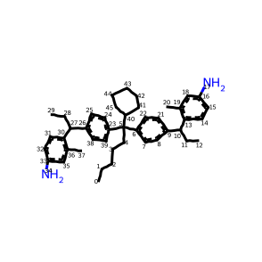 CCCCCC(c1ccc(C(CC)c2ccc(N)cc2C)cc1)(c1ccc(C(CC)c2ccc(N)cc2C)cc1)C1CCCCC1